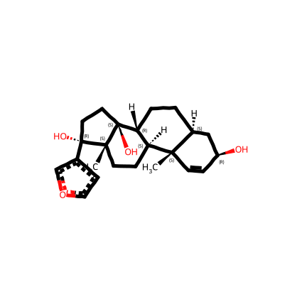 C[C@]12C=C[C@H](O)C[C@@H]1CC[C@@H]1[C@@H]2CC[C@]2(C)[C@@](O)(c3ccoc3)CC[C@]12O